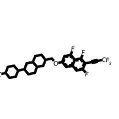 CC1CCC(C2CCC3CC(COc4cc(F)c5c(F)c(C#CC(F)(F)F)c(F)cc5c4)CCC3C2)CC1